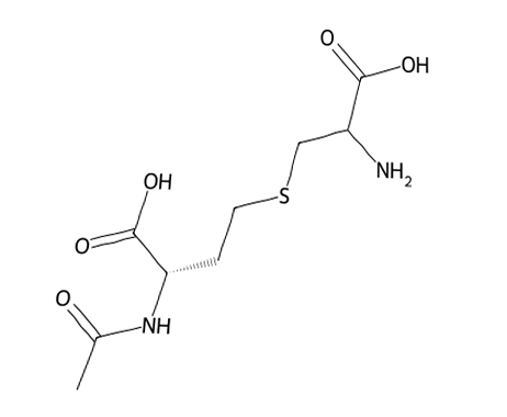 CC(=O)N[C@@H](CCSCC(N)C(=O)O)C(=O)O